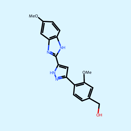 COc1ccc2[nH]c(-c3cc(-c4ccc(CO)cc4OC)n[nH]3)nc2c1